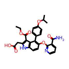 CCOC(=O)c1c(CC(=O)O)[nH]c2ccc(Oc3ncccc3C(N)=O)c(-c3ccc(OC(C)C)cc3)c12